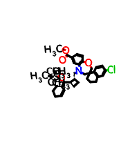 COC(=O)c1ccc2c(c1)N(C[C@@H]1CC[C@H]1[C@@H](O[Si](C)(C)C(C)(C)C)[C@H]1C=CCCC1)CC1(CCCc3cc(Cl)ccc31)CO2